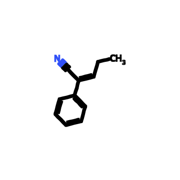 CCC=C(C#N)c1ccccc1